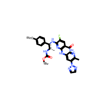 COc1ccc([C@@H](Nc2nc(Nc3cnc(C)c(-n4nccn4)c3)c(C(N)=O)cc2F)[C@H](C)NC(=O)OC(C)(C)C)cc1